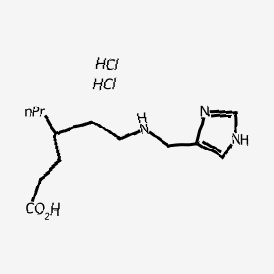 CCCC(CCNCc1c[nH]cn1)CCC(=O)O.Cl.Cl